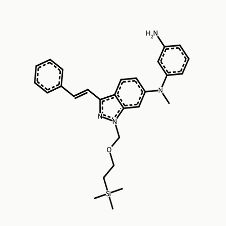 CN(c1cccc(N)c1)c1ccc2c(C=Cc3ccccc3)nn(COCC[Si](C)(C)C)c2c1